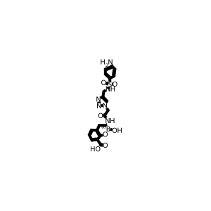 Nc1ccc(S(=O)(=O)NCc2cn(CC(=O)N[C@H]3Cc4cccc(C(=O)O)c4OB3O)nn2)cc1